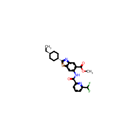 CC[C@H]1CC[C@H](c2nc3cc(C(=O)OC)c(NC(=O)c4cccc(C(F)F)n4)cc3s2)CC1